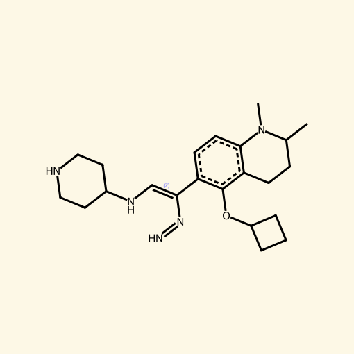 CC1CCc2c(ccc(/C(=C/NC3CCNCC3)N=N)c2OC2CCC2)N1C